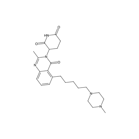 Cc1nc2cccc(CCCCCN3CCN(C)CC3)c2c(=O)n1C1CCC(=O)NC1=O